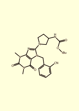 Cn1c(=O)c2c(nc(N3CCC(NC(=O)OC(C)(C)C)C3)n2Cc2ccccc2C#N)n(C)c1=O